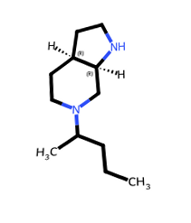 CCCC(C)N1CC[C@H]2CCN[C@H]2C1